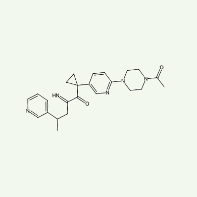 CC(=O)N1CCN(c2ccc(C3(C(=O)C(=N)CC(C)c4cccnc4)CC3)cn2)CC1